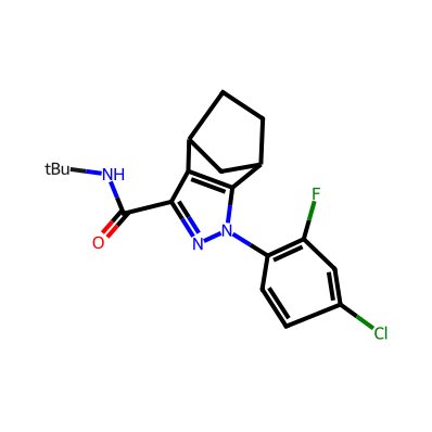 CC(C)(C)NC(=O)c1nn(-c2ccc(Cl)cc2F)c2c1C1CCC2C1